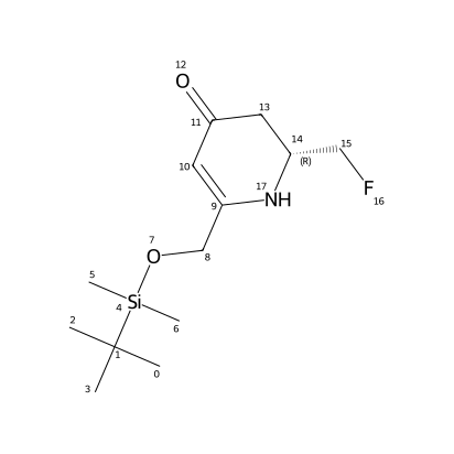 CC(C)(C)[Si](C)(C)OCC1=CC(=O)C[C@H](CF)N1